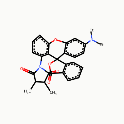 CCN(CC)c1ccc2c(c1)Oc1cccc(N3C(=O)C(C)C(C)C3=O)c1C21OC(=O)c2ccccc21